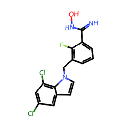 N=C(NO)c1cccc(Cn2ccc3cc(Cl)cc(Cl)c32)c1F